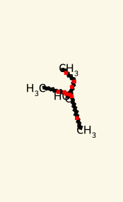 CCCCCCCC/C=C\CCCCCCC(CCCCCCCCCCCCCC)(CCCCCCCCCCCCCCCCCC)C(=O)O